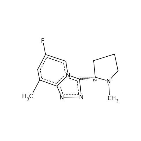 Cc1cc(F)cn2c([C@@H]3CCCN3C)nnc12